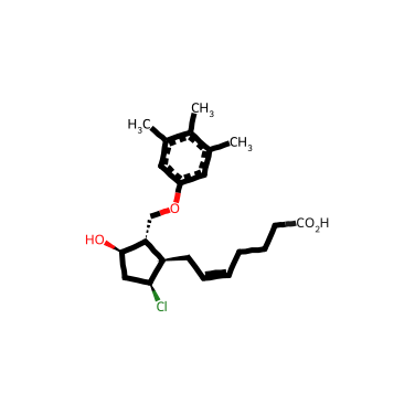 Cc1cc(OC[C@@H]2[C@@H](C/C=C\CCCC(=O)O)[C@@H](Cl)C[C@H]2O)cc(C)c1C